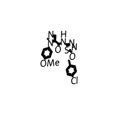 COc1ccc(-n2cncc2C(=O)Nc2nnc(OCc3ccc(Cl)cc3)s2)cc1